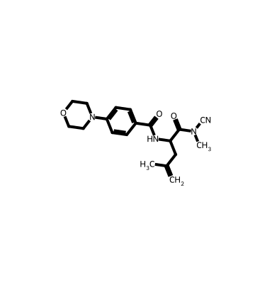 C=C(C)CC(NC(=O)c1ccc(N2CCOCC2)cc1)C(=O)N(C)C#N